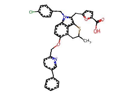 CC1Cc2c(OCc3ccc(-c4ccccc4)cn3)ccc3c2c(c(Cc2ccc(C(=O)O)o2)n3Cc2ccc(Cl)cc2)S1